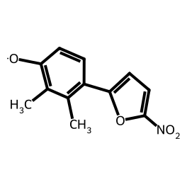 Cc1c([O])ccc(-c2ccc([N+](=O)[O-])o2)c1C